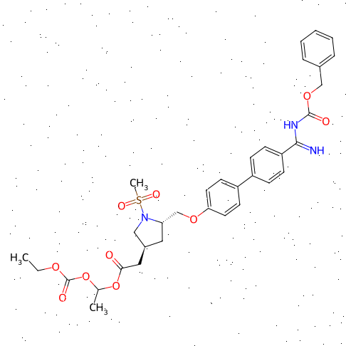 CCOC(=O)OC(C)OC(=O)C[C@@H]1C[C@@H](COc2ccc(-c3ccc(C(=N)NC(=O)OCc4ccccc4)cc3)cc2)N(S(C)(=O)=O)C1